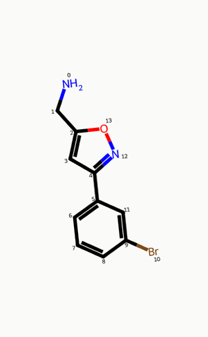 NCc1cc(-c2cccc(Br)c2)no1